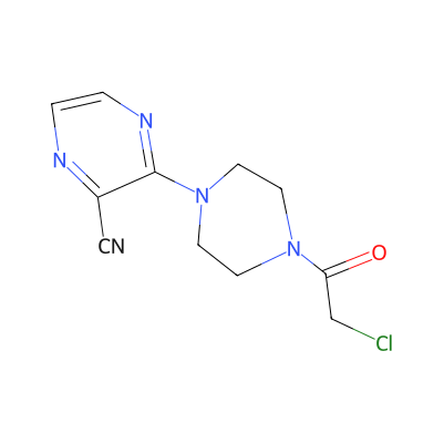 N#Cc1nccnc1N1CCN(C(=O)CCl)CC1